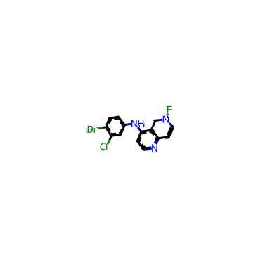 FN1C=Cc2nccc(Nc3ccc(Br)c(Cl)c3)c2C1